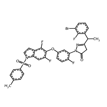 Cc1ccc(S(=O)(=O)n2ccc3c(F)c(Oc4ccc(F)c(N5N=C(C(C)c6cccc(Br)c6F)CC5=O)c4)c(F)cc32)cc1